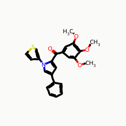 COc1cc(C(=O)c2cc(-c3ccccc3)cn2-c2ccsc2)cc(OC)c1OC